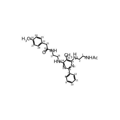 CC(=O)NCCNc1nc(-c2ccccc2)nc(NCCNC(=O)Cc2ccc(C)cc2)c1C